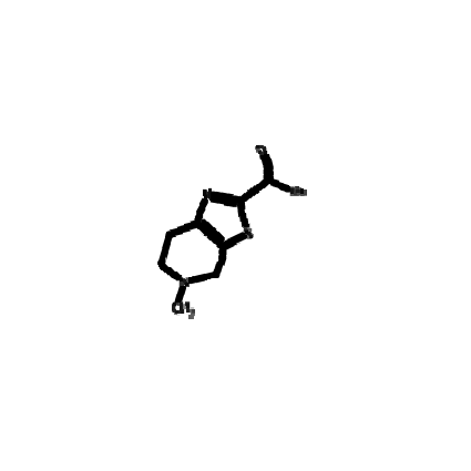 CN1CCc2nc(C(=O)C(C)(C)C)sc2C1